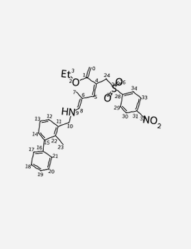 C=C(OCC)/C(=C\C(C)=C\NCc1cccc(-c2ccccc2)c1C)CS(=O)(=O)c1ccc([N+](=O)[O-])cc1